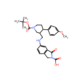 COc1ccc(C2CCN(C(=O)OC(C)(C)C)CC2CNc2ccc3c(c2)C(=O)N(C(=O)O)C3)cc1